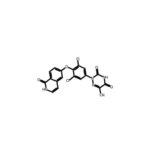 N#Cc1nn(-c2cc(Cl)c(Oc3ccc4c(=O)[nH]ccc4c3)c(Cl)c2)c(=O)[nH]c1=O